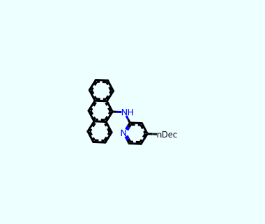 CCCCCCCCCCc1ccnc(Nc2c3ccccc3cc3ccccc23)c1